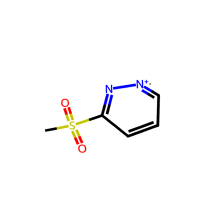 CS(=O)(=O)C1=N[N+]=CC=C1